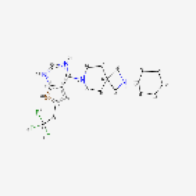 FC(F)(F)Cc1cc2c(N3CCC4(CC3)CN(C3CCCCC3)C4)ncnc2s1